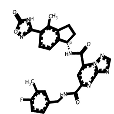 Cc1cc(CNC(=O)c2cc(C(=O)N[C@H]3CCc4c3ccc(-c3noc(=O)[nH]3)c4C)n3ncnc3n2)ccc1F